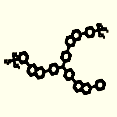 CC(C)(C)c1cccc(-c2ccc3ccc(-c4ccc(N(c5ccc(-c6ccc7ccc(-c8ccccc8)cc7c6)cc5)c5ccc(-c6ccc7ccc(-c8ccc([Si](C)(C)C)cc8)cc7c6)cc5)cc4)cc3c2)c1